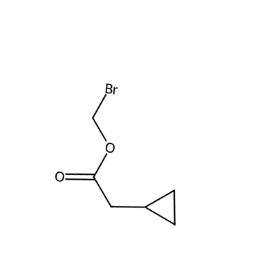 O=C(CC1CC1)OCBr